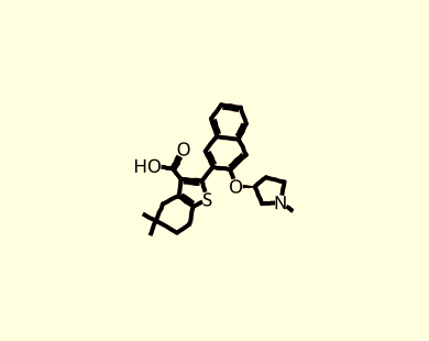 CN1CC[C@H](Oc2cc3ccccc3cc2-c2sc3c(c2C(=O)O)CC(C)(C)CC3)C1